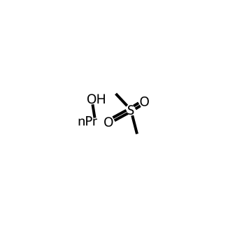 CCCO.CS(C)(=O)=O